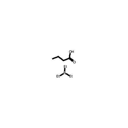 CCCC(=O)O.CCN(CC)CC